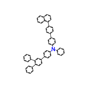 c1ccc(-c2ccc(-c3ccc(N(c4ccccc4)c4ccc(-c5ccc(-c6cccc7ccccc67)cc5)cc4)cc3)cc2-c2ccccc2)cc1